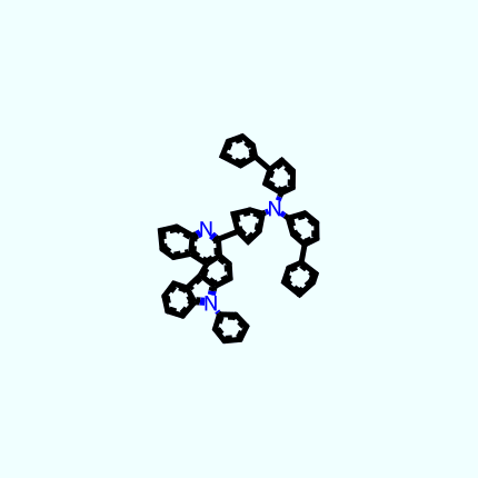 c1ccc(-c2cccc(N(c3ccc(-c4nc5ccccc5c5c4ccc4c5c5ccccc5n4-c4ccccc4)cc3)c3cccc(-c4ccccc4)c3)c2)cc1